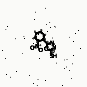 O=[N+]([O-])c1ccccc1-c1nnc(S)o1